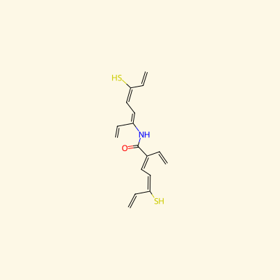 C=C/C(S)=C\C=C(/C=C)NC(=O)/C(C=C)=C/C=C(/S)C=C